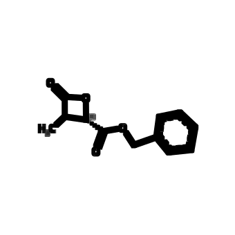 CC1C(=O)O[C@@H]1C(=O)OCc1ccccc1